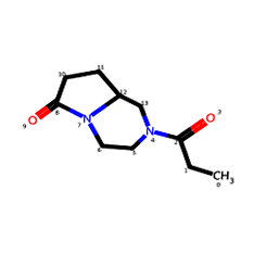 CCC(=O)N1CCN2C(=O)CCC2C1